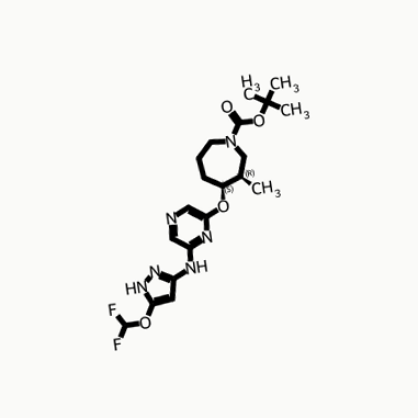 C[C@@H]1CN(C(=O)OC(C)(C)C)CCC[C@@H]1Oc1cncc(Nc2cc(OC(F)F)[nH]n2)n1